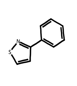 c1ccc(-c2ccsn2)cc1